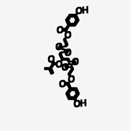 C=C(C)C(=O)OC(CS(=O)(=O)CCOC(=O)c1ccc(O)cc1)CS(=O)(=O)CCOC(=O)c1ccc(O)cc1